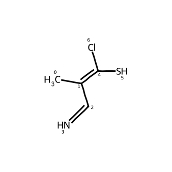 C/C(C=N)=C(/S)Cl